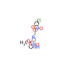 COC(=O)C1CN(CCCCN2C(=O)c3cc(Cl)ccc3S2(=O)=O)CCC1n1c(=O)[nH]c2ccccc21